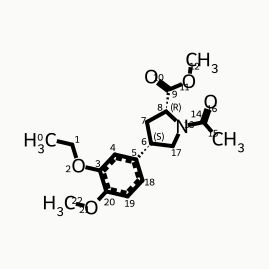 CCOc1cc([C@@H]2C[C@H](C(=O)OC)N(C(C)=O)C2)ccc1OC